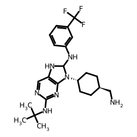 CC(C)(C)Nc1ncc2c(n1)N([C@H]1CC[C@H](CN)CC1)C(Nc1cccc(C(F)(F)F)c1)N2